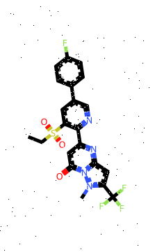 CCS(=O)(=O)c1cc(-c2ccc(F)cc2)cnc1-c1cc(=O)n2c(cc(C(F)(F)F)n2C)n1